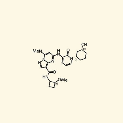 CNc1cc(Nc2cccn([C@H]3CCC[C@@H](C#N)C3)c2=O)nc2c(C(=O)NC3CC[C@@H]3OC)cnn12